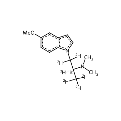 [2H]C([2H])([2H])[C@]([2H])(N(C)C)C([2H])([2H])n1ccc2cc(OC)ccc21